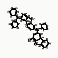 Clc1cc(N(c2ccccc2)c2ccc3c(c2)sc2ccc(N(c4ccccc4)c4ccccc4)cc23)cc2c1oc1ccccc12